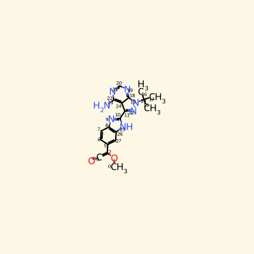 COC(=C=O)c1ccc2nc(-c3nn(C(C)(C)C)c4ncnc(N)c34)[nH]c2c1